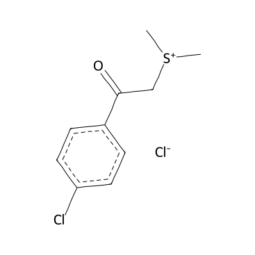 C[S+](C)CC(=O)c1ccc(Cl)cc1.[Cl-]